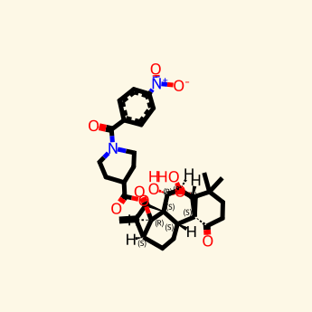 C=C1C(=O)[C@]23[C@H](OC(=O)C4CCN(C(=O)c5ccc([N+](=O)[O-])cc5)CC4)[C@H]1CC[C@H]2[C@@]12CO[C@@]3(O)[C@@H](O)[C@@H]1C(C)(C)CCC2=O